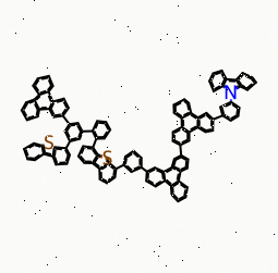 c1cc(-c2ccc3c4ccccc4c4ccc(-c5ccc6c7ccccc7c7cc(-c8cccc(-n9c%10ccccc%10c%10ccccc%109)c8)ccc7c6c5)cc4c3c2)cc(-c2cccc3c2sc2c(-c4ccccc4-c4cc(-c5ccc6c7ccccc7c7ccccc7c6c5)cc(-c5cccc6c5sc5ccccc56)c4)cccc23)c1